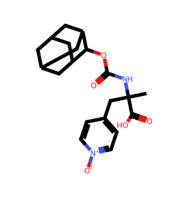 CC(Cc1cc[n+]([O-])cc1)(NC(=O)OC1C2CC3CC(C2)CC1C3)C(=O)O